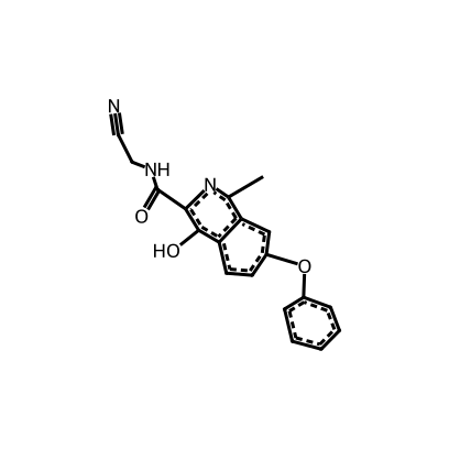 Cc1nc(C(=O)NCC#N)c(O)c2ccc(Oc3ccccc3)cc12